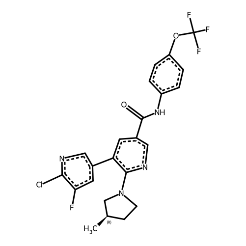 C[C@@H]1CCN(c2ncc(C(=O)Nc3ccc(OC(F)(F)F)cc3)cc2-c2cnc(Cl)c(F)c2)C1